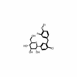 CCOc1ccc(Cc2cc([C@@H]3S[C@H](CO)[C@@H](O)[C@H](O)[C@H]3O)ccc2Cl)cc1F